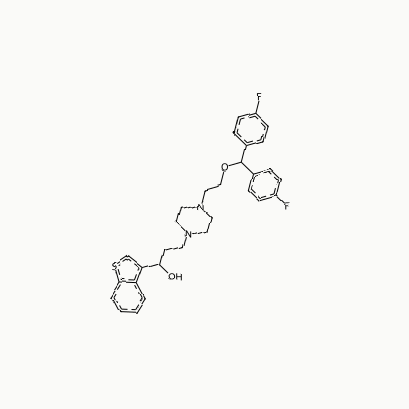 OC(CCN1CCN(CCOC(c2ccc(F)cc2)c2ccc(F)cc2)CC1)c1csc2ccccc12